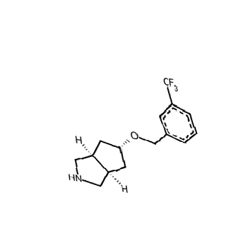 FC(F)(F)c1cccc(CO[C@@H]2C[C@H]3CNC[C@H]3C2)c1